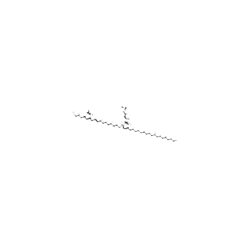 CCCCCCCCCCCCCCCCCCC(COCCCCCCCCC=CCC(CCCCCC)OC(C)=O)OC(=O)OCCCN(C)C